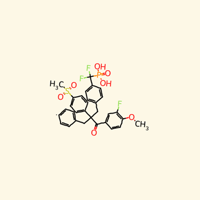 COc1ccc(C(=O)C(Cc2cc[c]cc2)(Cc2ccc(C(F)(F)P(=O)(O)O)cc2)c2ccc(S(C)(=O)=O)cc2)cc1F